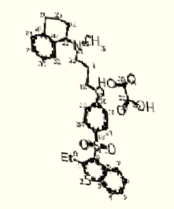 CCc1sc2ccccc2c1S(=O)(=O)c1ccc(OCCCN(C)C2CCCc3ccccc32)cc1.O=C(O)C(=O)O